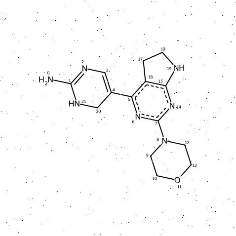 NC1=NC=C(c2nc(N3CCOCC3)nc3c2CCN3)CN1